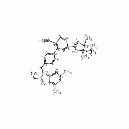 CCc1nc2c(C)cc(C)nc2n1Cc1ccc(-c2cc(B3OC(C)(C)C(C)(C)O3)ccc2C#N)cc1